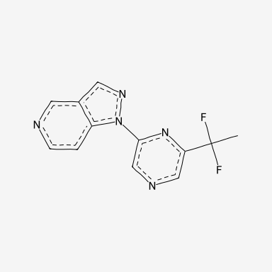 CC(F)(F)c1cncc(-n2ncc3cnccc32)n1